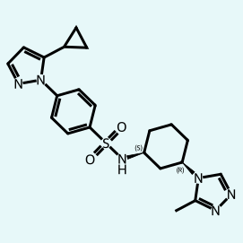 Cc1nncn1[C@@H]1CCC[C@H](NS(=O)(=O)c2ccc(-n3nccc3C3CC3)cc2)C1